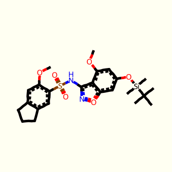 COc1cc2c(cc1S(=O)(=O)Nc1noc3cc(O[Si](C)(C)C(C)(C)C)cc(OC)c13)CCC2